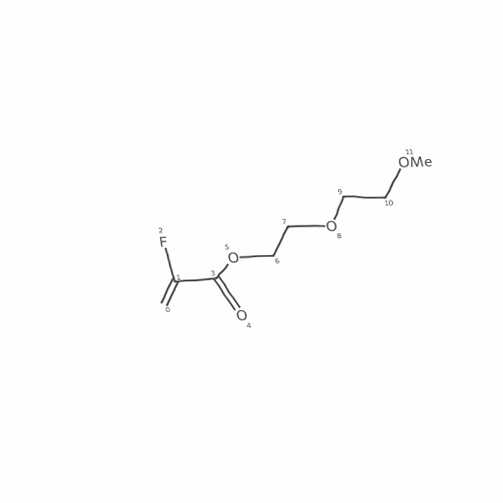 C=C(F)C(=O)OCCOCCOC